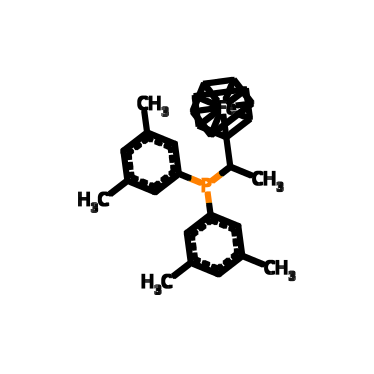 Cc1cc(C)cc(P(c2cc(C)cc(C)c2)C(C)[C]23[CH]4[CH]5[CH]6[CH]2[Fe]56432789[CH]3[CH]2[CH]7[CH]8[CH]39)c1